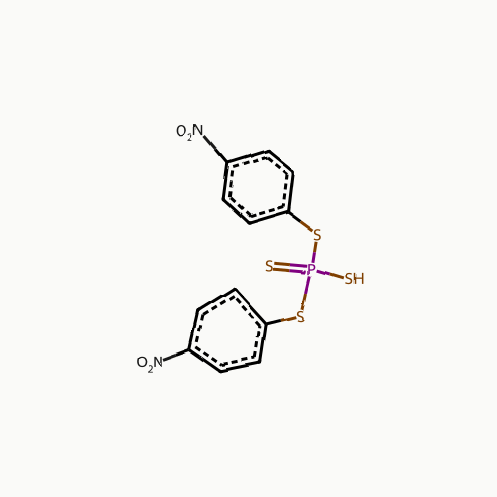 O=[N+]([O-])c1ccc(SP(=S)(S)Sc2ccc([N+](=O)[O-])cc2)cc1